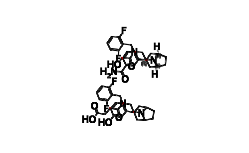 NC(=O)c1cccc([C@H]2C[C@H]3CC[C@@H](C2)N3CCN(Cc2c(F)cccc2F)C(=O)CO)c1.O=C(O)CCC(=O)N(CCN1C2CCC1CC(c1cccc(O)c1)C2)Cc1c(F)cccc1F